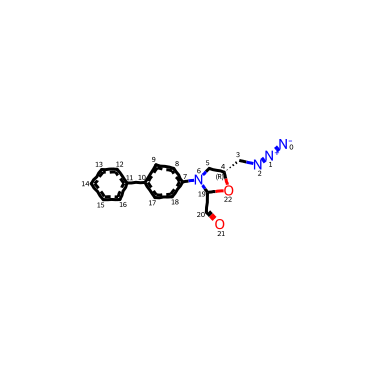 [N-]=[N+]=NC[C@H]1CN(c2ccc(-c3ccccc3)cc2)C(C=O)O1